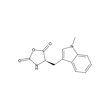 Cn1cc(C[C@H]2NC(=O)OC2=O)c2ccccc21